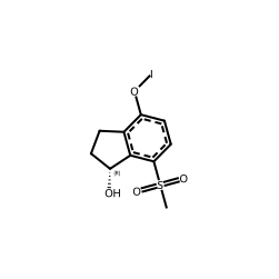 CS(=O)(=O)c1ccc(OI)c2c1[C@H](O)CC2